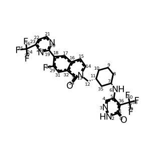 O=c1[nH]ncc(N[C@H]2CCC[C@@H](Cn3ccc4cc(-c5nccc(C(F)(F)F)n5)c(F)cc4c3=O)C2)c1C(F)(F)F